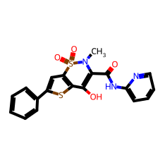 CN1C(C(=O)Nc2ccccn2)=C(O)c2sc(-c3ccccc3)cc2S1(=O)=O